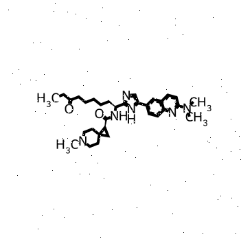 CCC(=O)CCCCC[C@H](NC(=O)[C@H]1CC12CCN(C)CC2)c1ncc(-c2ccc3nc(N(C)C)ccc3c2)[nH]1